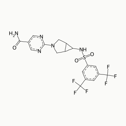 NC(=O)c1cnc(N2CC3C(C2)C3NS(=O)(=O)c2cc(C(F)(F)F)cc(C(F)(F)F)c2)nc1